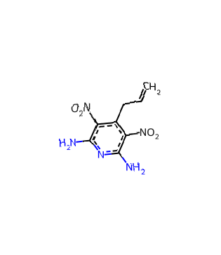 C=CCc1c([N+](=O)[O-])c(N)nc(N)c1[N+](=O)[O-]